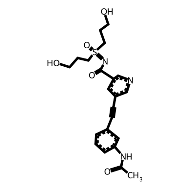 CC(=O)Nc1cccc(C#Cc2cncc(C(=O)N=S(=O)(CCCO)CCCO)c2)c1